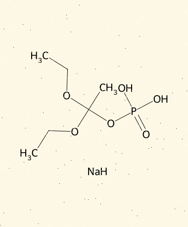 CCOC(C)(OCC)OP(=O)(O)O.[NaH]